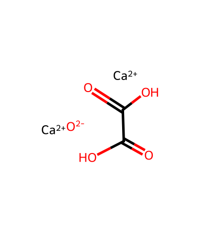 O=C(O)C(=O)O.[Ca+2].[Ca+2].[O-2]